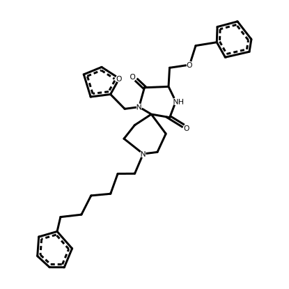 O=C1C(COCc2ccccc2)NC(=O)C2(CCN(CCCCCCc3ccccc3)CC2)N1Cc1ccco1